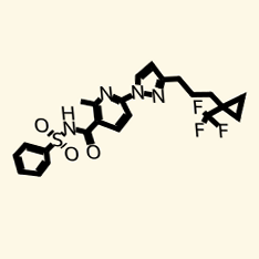 Cc1nc(-n2ccc(CCCC3(C(F)(F)F)CC3)n2)ccc1C(=O)NS(=O)(=O)c1ccccc1